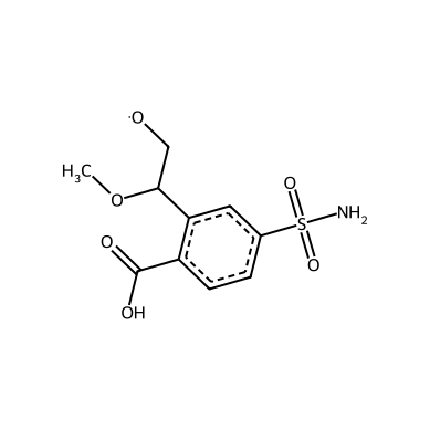 COC(C[O])c1cc(S(N)(=O)=O)ccc1C(=O)O